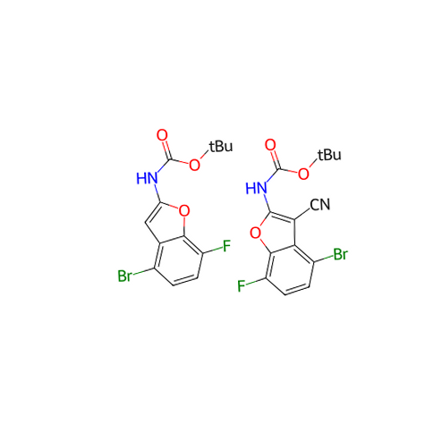 CC(C)(C)OC(=O)Nc1cc2c(Br)ccc(F)c2o1.CC(C)(C)OC(=O)Nc1oc2c(F)ccc(Br)c2c1C#N